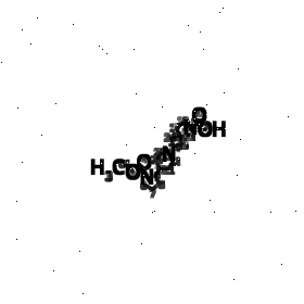 CCOC(=O)N1CCCC1C1CCN(C2CC3(CCN(C(=O)O)C3)C2)CC1